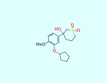 COc1ccc(C2(O)CCCS(=O)(=O)C2)cc1OC1CCCC1